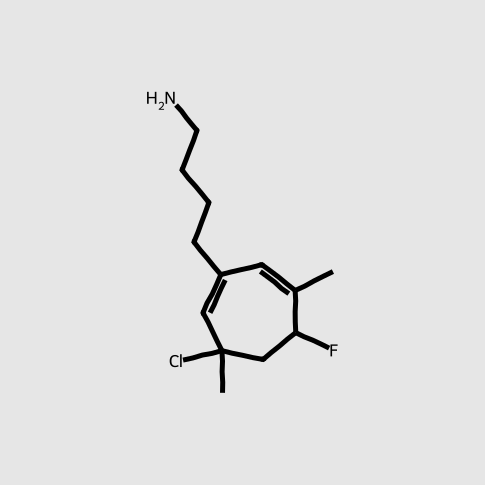 CC1=CC(CCCCN)=CC(C)(Cl)CC1F